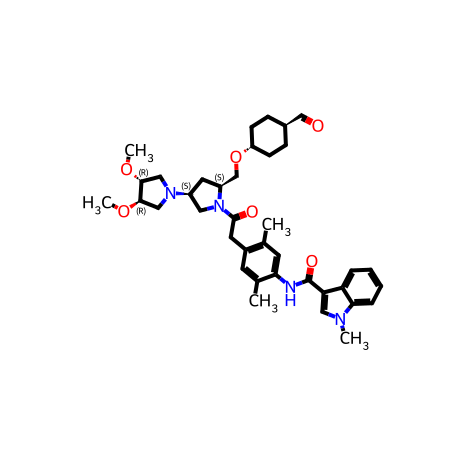 CO[C@@H]1CN([C@H]2C[C@@H](CO[C@H]3CC[C@H](C=O)CC3)N(C(=O)Cc3cc(C)c(NC(=O)c4cn(C)c5ccccc45)cc3C)C2)C[C@H]1OC